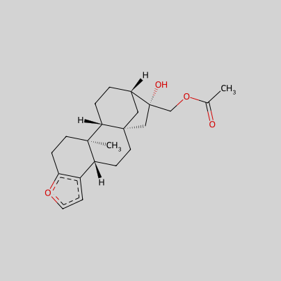 CC(=O)OC[C@@]1(O)C[C@]23CC[C@@H]4c5ccoc5CC[C@@]4(C)[C@@H]2CC[C@H]1C3